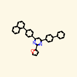 c1ccc(-c2ccc(-c3cc(-c4ccc(-c5cccc6ccccc56)cc4)nc(-c4ccco4)n3)cc2)cc1